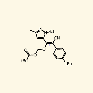 CCn1nc(C)cc1/C(OCOC(=O)C(C)(C)C)=C(\C#N)c1ccc(C(C)(C)C)cc1